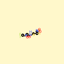 O=C(NCc1ccc(-c2cccc3c2cnn3[SH](=O)=O)s1)c1cccn(Cc2ccc(F)c(F)c2)c1=O